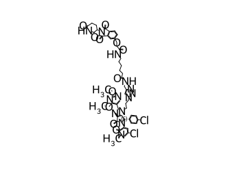 COc1ncc(-c2nc3c(n2CCCn2cc(CNC(=O)CCCCCNC(=O)COc4ccc5c(c4)C(=O)N(C4CCC(=O)NC4=O)C5=O)nn2)[C@H](c2ccc(Cl)cc2)N(c2cc(Cl)cn(C)c2=O)C3=O)c(OC)n1